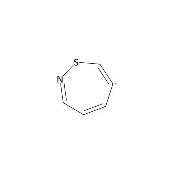 [C]1=CSN=CC=C1